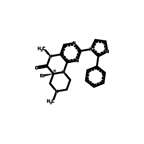 CC[C@@]12CN(C)CCN1c1nc(-n3ccnc3-c3ccccc3)ncc1N(C)C2=O